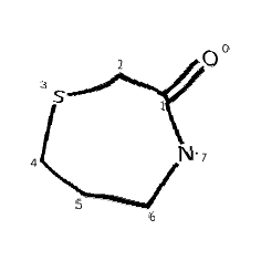 O=C1CSCCC[N]1